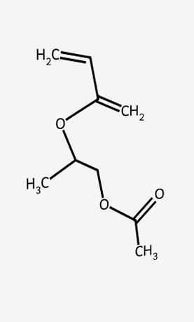 C=CC(=C)OC(C)COC(C)=O